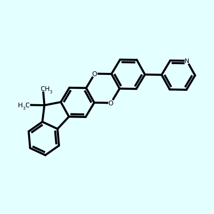 CC1(C)c2ccccc2-c2cc3c(cc21)Oc1ccc(-c2cccnc2)cc1O3